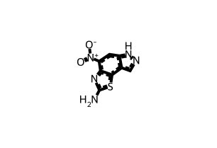 Nc1nc2c([N+](=O)[O-])cc3[nH]ncc3c2s1